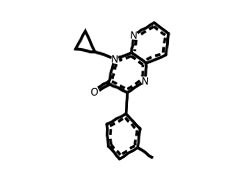 Cc1cccc(-c2nc3cccnc3n(C3CC3)c2=O)c1